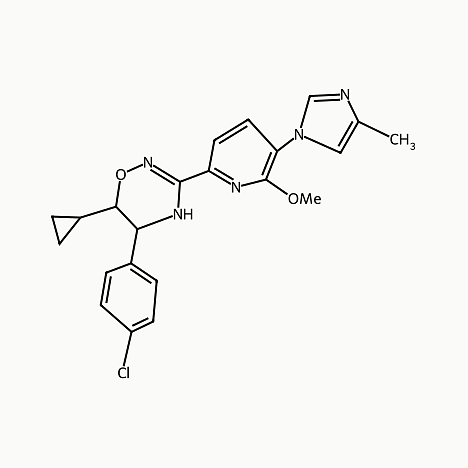 COc1nc(C2=NOC(C3CC3)C(c3ccc(Cl)cc3)N2)ccc1-n1cnc(C)c1